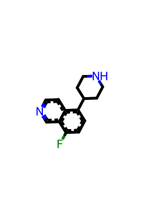 Fc1ccc(C2CCNCC2)c2ccncc12